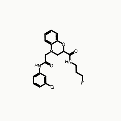 O=C(CN1CC(C(=O)NCCCF)Oc2ccccc21)Nc1cccc(Cl)c1